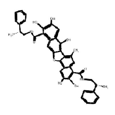 Cc1cc2c(C(=O)NC[C@H](C)c3ccccc3)c(O)c(O)cc2c2oc3cc4c(C(=O)NC[C@H](C)c5ccccc5)c(O)c(O)cc4c(O)c3c12